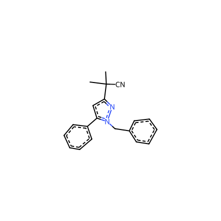 CC(C)(C#N)c1cc(-c2ccccc2)n(Cc2ccccc2)n1